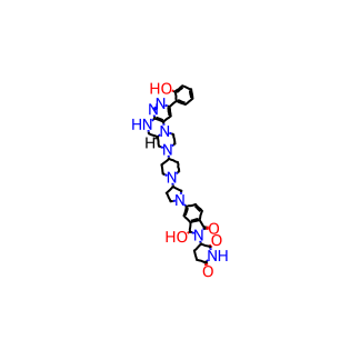 O=C1CCC(N2C(=O)c3ccc(N4CCC(N5CCC(N6CCN7c8cc(-c9ccccc9O)nnc8NC[C@H]7C6)CC5)C4)cc3C2O)C(=O)N1